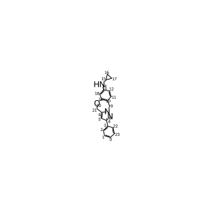 c1ccc(-c2cc3n(n2)Cc2ccc(NC4CC4)cc2OC3)cc1